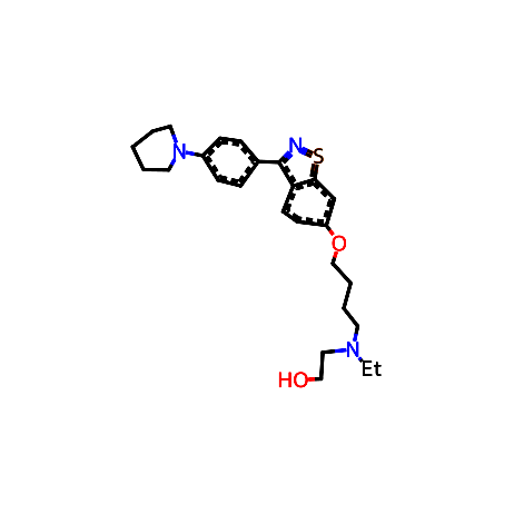 CCN(CCO)CCCCOc1ccc2c(-c3ccc(N4CCCCC4)cc3)nsc2c1